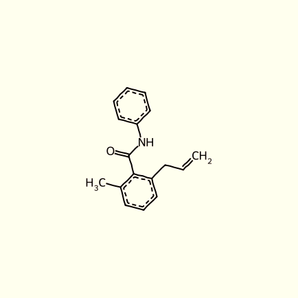 C=CCc1cccc(C)c1C(=O)Nc1ccccc1